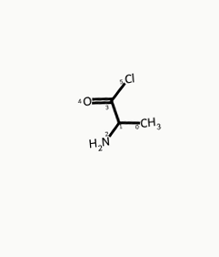 CC(N)C(=O)Cl